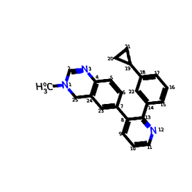 CN1C=Nc2ccc(-c3cccnc3-c3cccc(C4CC4)c3)cc2C1